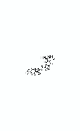 CC(C)(C)c1ccc(C(=O)NCCC2COc3ccc(C(=N)N)cc32)cc1